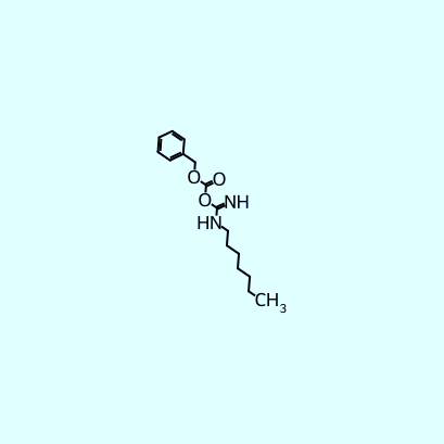 CCCCCCCNC(=N)OC(=O)OCc1ccccc1